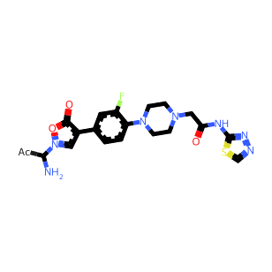 CC(=O)C(N)n1cc(-c2ccc(N3CCN(CC(=O)Nc4nncs4)CC3)c(F)c2)c(=O)o1